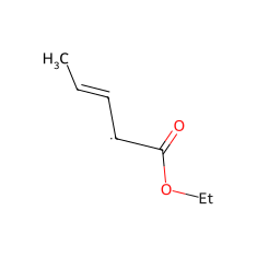 CC=C[CH]C(=O)OCC